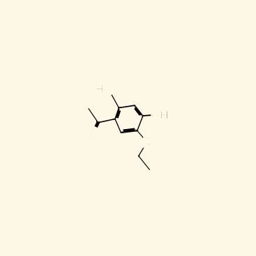 CCSc1cc(C(C)=O)c(O)cc1O